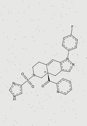 O=C(c1ccccn1)[C@]12Cc3cnn(-c4ccc(F)cc4)c3C=C1CCN(S(=O)(=O)c1c[nH]cn1)C2